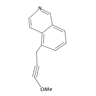 COC#CCc1cccc2cnccc12